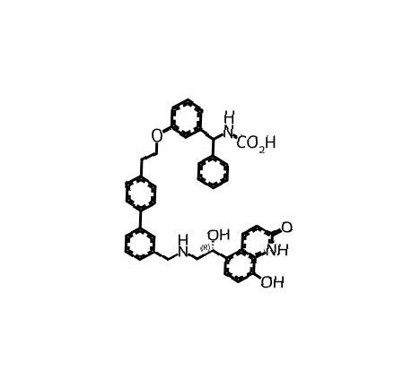 O=C(O)NC(c1ccccc1)c1cccc(OCCc2ccc(-c3cccc(CNC[C@H](O)c4ccc(O)c5[nH]c(=O)ccc45)c3)cc2)c1